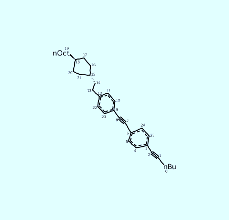 CCCCC#Cc1ccc(C#Cc2ccc(CC[C@H]3CC[C@H](CCCCCCCC)CC3)cc2)cc1